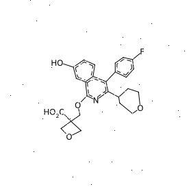 O=C(O)C1(COc2nc(C3CCOCC3)c(-c3ccc(F)cc3)c3ccc(O)cc23)COC1